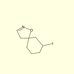 IC1CCCC2(CC=NO2)C1